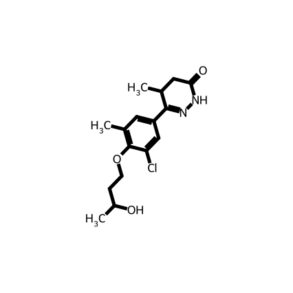 Cc1cc(C2=NNC(=O)CC2C)cc(Cl)c1OCCC(C)O